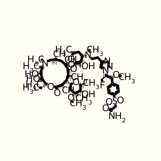 CC[C@H]1OC(=O)[C@H](C)[C@@H](C2C[C@@](C)(OC)[C@@H](O)[C@H](C)O2)[C@H](C)[C@@H](O[C@@H]2O[C@H](C)C[C@H](N(C)CCc3cn([C@H](CF)[C@H](OC)c4ccc(S(=O)(=O)CC(N)=O)cc4)nn3)[C@H]2O)[C@](C)(O)C[C@@H](C)CN(C)[C@H](C)[C@@H](O)[C@]1(C)O